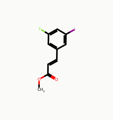 COC(=O)C=Cc1cc(F)cc(I)c1